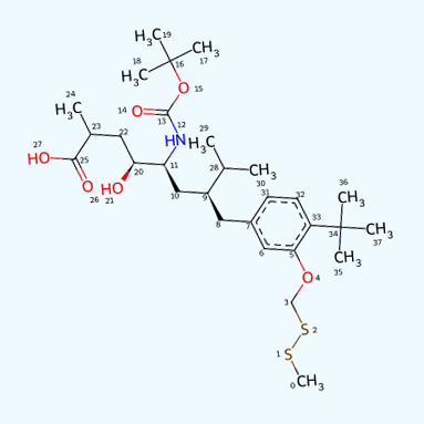 CSSCOc1cc(C[C@@H](C[C@H](NC(=O)OC(C)(C)C)[C@@H](O)CC(C)C(=O)O)C(C)C)ccc1C(C)(C)C